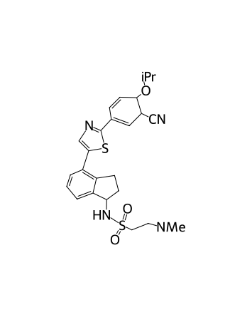 CNCCS(=O)(=O)NC1CCc2c(-c3cnc(C4=CC(C#N)C(OC(C)C)C=C4)s3)cccc21